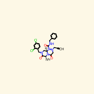 C#CCN1CC(=O)N2[C@@H](CCC)C(=O)N(Cc3ccc(Cl)cc3Cl)C[C@@H]2N1C(=O)NCc1ccccc1